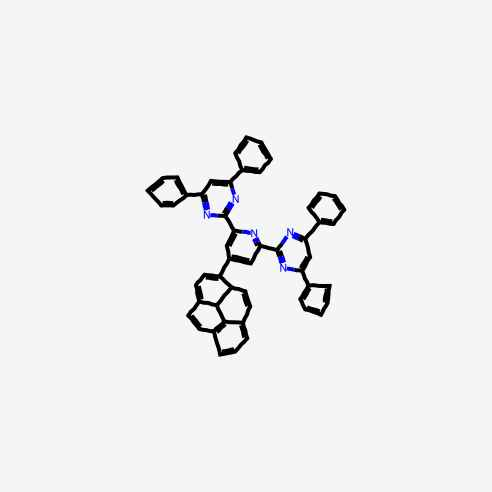 C1=Cc2cccc3c2C2C1=CC=C(c1cc(-c4nc(-c5ccccc5)cc(-c5ccccc5)n4)nc(-c4nc(-c5ccccc5)cc(-c5ccccc5)n4)c1)C2C=C3